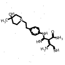 CC1(O)CCN(CCc2ccc(NC(=N)/C(C(N)=O)=C(\N)C=N)cc2)CC1